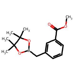 COC(=O)c1cccc(CB2OC(C)(C)C(C)(C)O2)c1